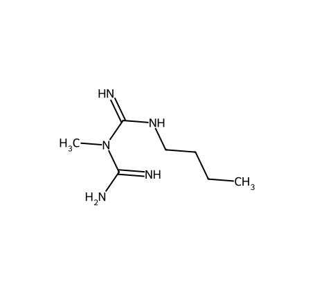 CCCCNC(=N)N(C)C(=N)N